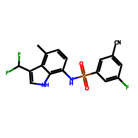 Cc1ccc(NS(=O)(=O)c2cc(F)cc(C#N)c2)c2[nH]cc(C(F)F)c12